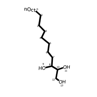 CCCCCCCCCCCCCCCC(O)C(O)CO